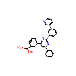 OB(O)c1cccc(-c2cc(-c3ccccc3)nc(-c3cccc(-c4cccnc4)c3)n2)c1